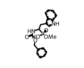 COP(=O)(O)C(Cc1c[nH]c2ccccc12)NC(=O)OCc1ccccc1